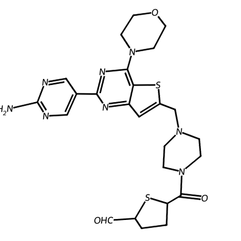 Nc1ncc(-c2nc(N3CCOCC3)c3sc(CN4CCN(C(=O)C5CCC(C=O)S5)CC4)cc3n2)cn1